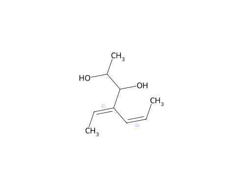 C/C=C\C(=C/C)C(O)C(C)O